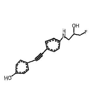 Oc1ccc(C#Cc2ccc(NCC(O)CF)cc2)cc1